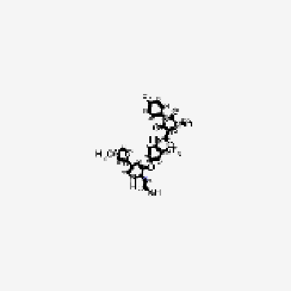 CC(C)n1cc(C(=O)Nc2ccc(OC3=CC(c4cn(C)cn4)=CN/C3=C\C=N)cc2C(F)(F)F)c(=O)n(-c2ccc(F)cc2)c1=O